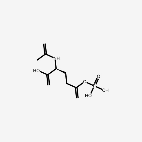 C=C(C)N[C@@H](CCC(=C)OP(=O)(O)O)C(=C)O